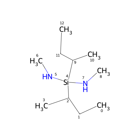 CCC(C)[Si](NC)(NC)C(C)CC